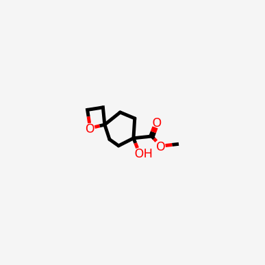 COC(=O)C1(O)CCC2(CCO2)CC1